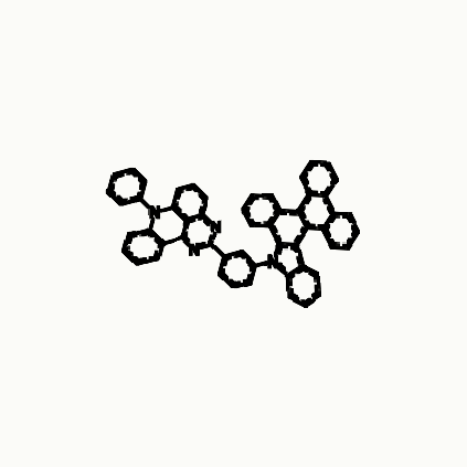 c1ccc(N2c3ccccc3-c3nc(-c4cccc(-n5c6ccccc6c6c7c8ccccc8c8ccccc8c7c7ccccc7c65)c4)nc4cccc2c34)cc1